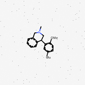 COc1ccc(C(C)(C)C)cc1C1CN(C)Cc2ccccc21